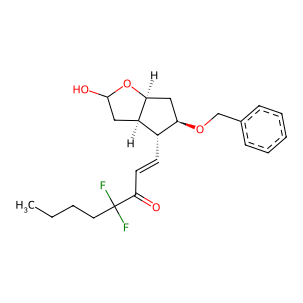 CCCCC(F)(F)C(=O)C=C[C@@H]1[C@H]2CC(O)O[C@H]2C[C@H]1OCc1ccccc1